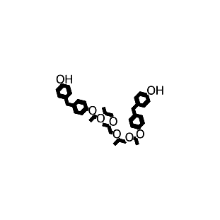 CC(COC(C)COC(C)Oc1ccc(Cc2ccc(O)cc2)cc1)OCC(C)OC(C)Oc1ccc(Cc2ccc(O)cc2)cc1